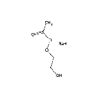 CC(=O)OOCCO.[NaH]